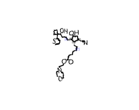 N#C[C@@H]1C[C@@H](O)[C@H](/C=C/CC(O)C2(c3cccs3)CCC2)[C@H]1C/C=C\CCCC(=O)OCCN1CCOCC1